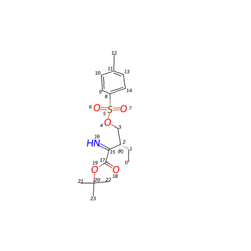 CC[C@@H](COS(=O)(=O)c1ccc(C)cc1)C(=N)C(=O)OC(C)(C)C